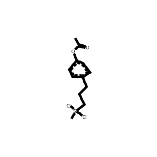 CC(=O)Oc1ccc(CCC[Si](C)(Cl)Cl)cc1